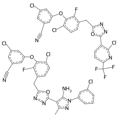 Cc1nn(-c2cccc(Cl)c2)c(N)c1-c1nnc(Cc2ccc(Cl)c(Oc3cc(Cl)cc(C#N)c3)c2F)o1.N#Cc1cc(Cl)cc(Oc2c(Cl)ccc(Cc3nnc(-c4ccc(C(F)(F)F)nc4Cl)o3)c2F)c1